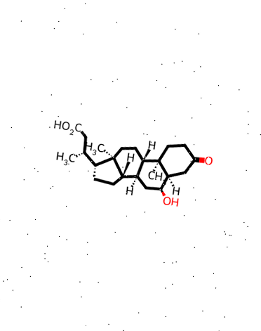 C[C@H](CC(=O)O)[C@H]1CC[C@H]2[C@@H]3C[C@H](O)[C@@H]4CC(=O)CC[C@]4(C)[C@H]3CC[C@]12C